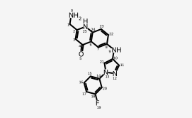 NCc1cc(=O)c2cc(Nc3cnn(-c4cccc(F)c4)c3)ccc2[nH]1